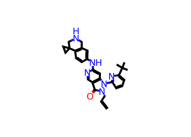 C=CCn1c(=O)c2cnc(Nc3ccc4c(c3)CNCC43CC3)cc2n1-c1cccc(C(C)(C)C)n1